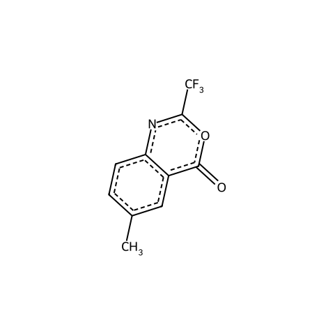 Cc1ccc2nc(C(F)(F)F)oc(=O)c2c1